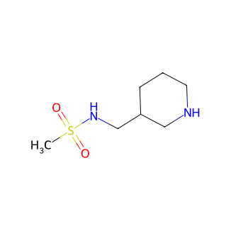 CS(=O)(=O)NCC1CCCNC1